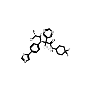 CC(C(=O)NC1CCC(F)(F)CC1)(c1cncnc1)N(C(=O)[C@H](F)Cl)c1ccc(-c2cncs2)cc1